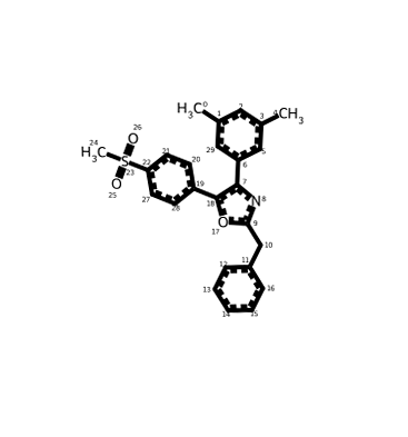 Cc1cc(C)cc(-c2nc(Cc3ccccc3)oc2-c2ccc(S(C)(=O)=O)cc2)c1